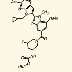 COc1cc(C(=O)N2C[C@H](F)C[C@@H](NC(=O)OC(C)(C)C)C2)cc2nc(-c3cc4ccc(C(C)=O)nc4n3CC3CC3)n(C)c12